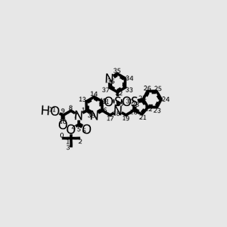 CC(C)(C)OC(=O)N(CC(=O)O)c1cccc(CN(Cc2cc3ccccc3s2)S(=O)(=O)c2cccnc2)n1